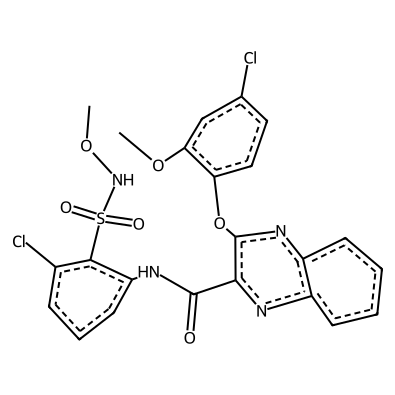 CONS(=O)(=O)c1c(Cl)cccc1NC(=O)c1nc2ccccc2nc1Oc1ccc(Cl)cc1OC